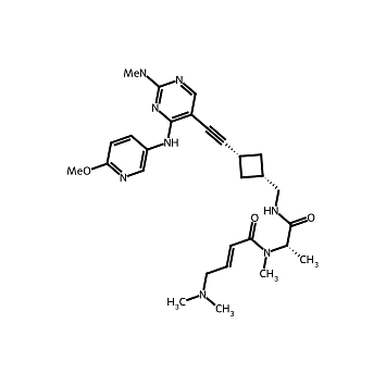 CNc1ncc(C#C[C@H]2C[C@@H](CNC(=O)[C@H](C)N(C)C(=O)/C=C/CN(C)C)C2)c(Nc2ccc(OC)nc2)n1